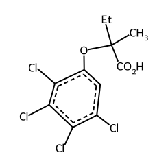 CCC(C)(Oc1cc(Cl)c(Cl)c(Cl)c1Cl)C(=O)O